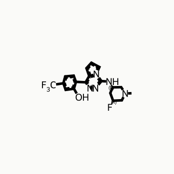 CN1C[C@H](F)C[C@@H](Nc2nnc(-c3ccc(C(F)(F)F)cc3O)c3cccn23)C1